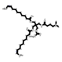 CCCC/C=C\CCCCCCCC(=O)OCC(COC(=O)CCCCCCC)(COC(=O)CCCCCCC/C=C\CCCC)COC(=O)CCCN(C)C